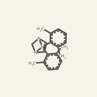 Cc1cccc(C)c1[N+]1(c2c(C)cccc2C)N2C=CN1C2